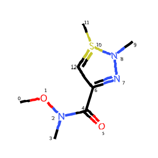 CON(C)C(=O)C1=NN(C)S(C)=C1